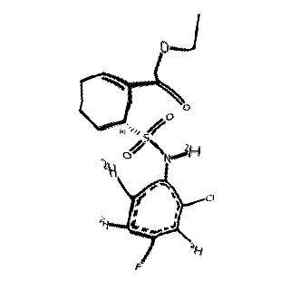 [2H]c1c([2H])c(N([2H])S(=O)(=O)[C@@H]2CCCC=C2C(=O)OCC)c(Cl)c([2H])c1F